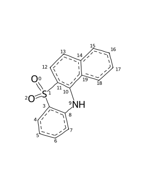 O=S1(=O)c2ccccc2Nc2c1ccc1ccccc21